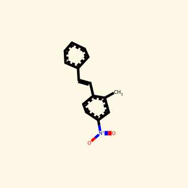 Cc1cc([N+](=O)[O-])ccc1C=Cc1ccccc1